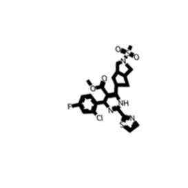 COC(=O)C1=C(C2CC3CN(S(C)(=O)=O)CC3C2)NC(c2nccs2)=NC1c1ccc(F)cc1Cl